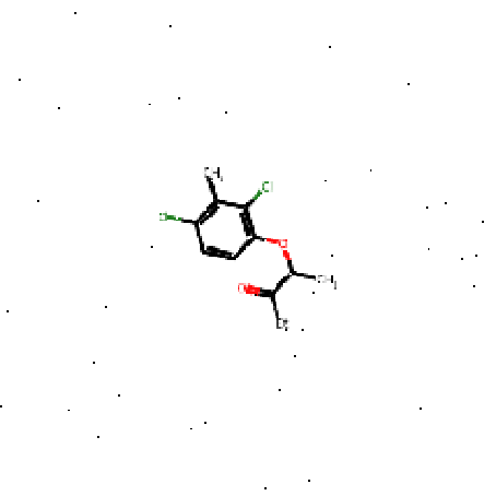 CCC(=O)C(C)Oc1ccc(Cl)c(C)c1Cl